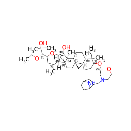 CCO[C@@H](C1C[C@@H](C)[C@H]2C(O1)[C@H](O)[C@@]1(C)C3CC[C@H]4C(C)(C)[C@@H](O[C@H]5CN(CC6CC7CCC6N7)CCO5)CC[C@@]45C[C@@]35CC[C@]21C)C(C)(C)O